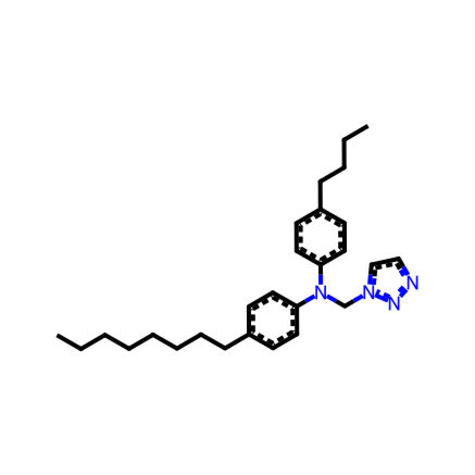 CCCCCCCCc1ccc(N(Cn2ccnn2)c2ccc(CCCC)cc2)cc1